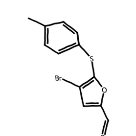 Cc1ccc(Sc2oc(C=O)cc2Br)cc1